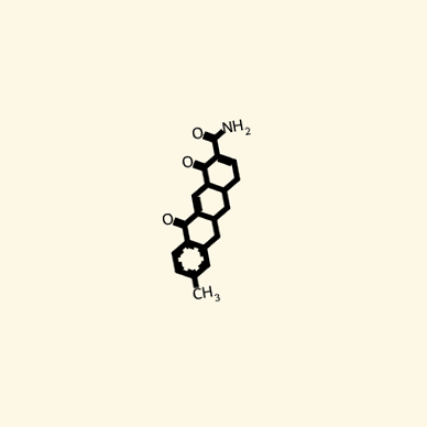 Cc1ccc2c(c1)CC1CC3CC=C(C(N)=O)C(=O)C3C=C1C2=O